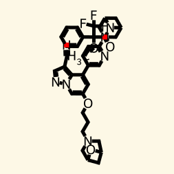 COC(C(=O)N1C2CC1CN(c1ccc(-c3cc(OCCCN4CC5CC(C4)O5)cn4ncc(C#N)c34)cn1)C2)(c1ccccc1)C(F)(F)F